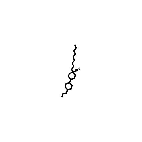 CCCCCCCCCC1(C#N)CCC(C2CCC(CCC)CC2)CC1